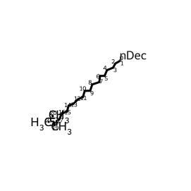 [CH2]CCCCCCCCCCCCCCCCCCCCCCCCCC[Si](C)(C)C